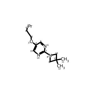 CC(C)CCOc1cnc(N2CC(C)(C)C2)nc1